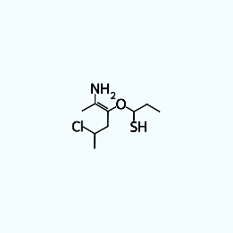 CCC(S)O/C(CC(C)Cl)=C(/C)N